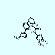 C=N/C=C(\N=C/C)NC(=O)N1c2nc(-c3ccn(C)n3)ccc2N2CC[C@H]1C2